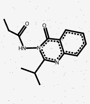 CCC(=O)Nn1c(C(C)C)nc2ccccc2c1=O